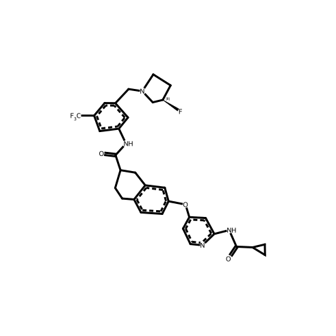 O=C(Nc1cc(CN2CC[C@@H](F)C2)cc(C(F)(F)F)c1)C1CCc2ccc(Oc3ccnc(NC(=O)C4CC4)c3)cc2C1